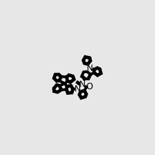 C=C1N(C2=CCC3C(=C2)c2ccccc2N3c2ccccc2)C(=O)c2ccccc2N1c1ccc2c(c1)C1(c3ccccc3-c3ccccc31)c1ccccc1-2